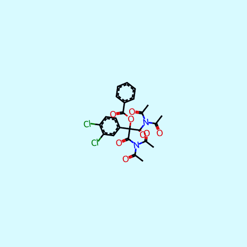 CC(=O)N(C(C)=O)C(=O)C(OC(=O)c1ccccc1)(C(=O)N(C(C)=O)C(C)=O)c1ccc(Cl)c(Cl)c1